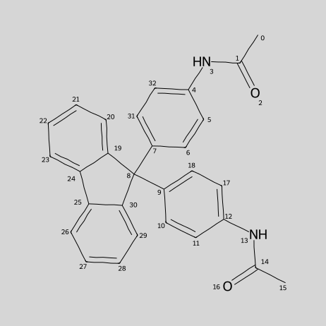 CC(=O)Nc1ccc(C2(c3ccc(NC(C)=O)cc3)c3ccccc3-c3ccccc32)cc1